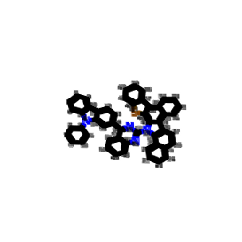 c1ccc(-n2c3ccccc3c3ccc(-c4nc(-n5c6c7ccccc7ccc6c6c7ccccc7c7c8ccccc8sc7c65)nc5ccccc45)cc32)cc1